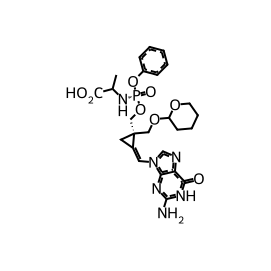 CC(N[P@](=O)(OC[C@@]1(COC2CCCCO2)C/C1=C/n1cnc2c(=O)[nH]c(N)nc21)Oc1ccccc1)C(=O)O